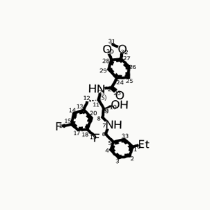 CCc1cccc(CNC[C@H](O)[C@H](Cc2cc(F)cc(F)c2)NC(=O)c2ccc3c(c2)OCO3)c1